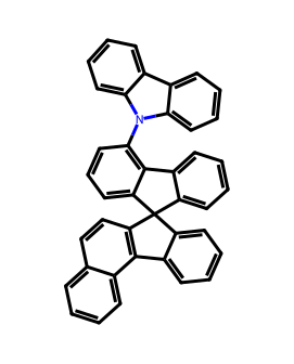 c1ccc2c(c1)-c1c(-n3c4ccccc4c4ccccc43)cccc1C21c2ccccc2-c2c1ccc1ccccc21